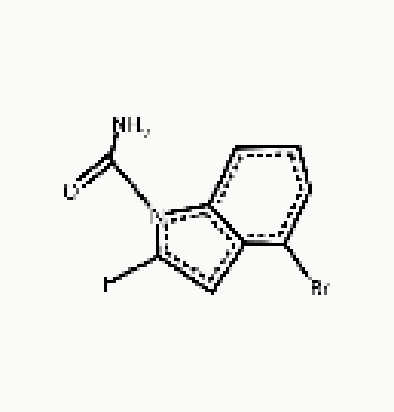 NC(=O)n1c(I)cc2c(Br)cccc21